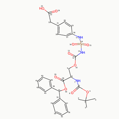 CC(C)(C)OC(=O)NC(COC(=O)NS(=O)(=O)Nc1ccc(CC(=O)O)cc1)C(=O)OC(c1ccccc1)c1ccccc1